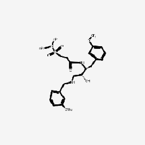 CCCN(CCC)S(=O)(=O)CCC(=O)N[C@@H](Cc1cccc(OC(F)(F)F)c1)[C@H](O)CNCc1cccc(OC)c1